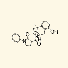 CC1(C)[C@H]2Cc3c(O)cccc3[C@]1(C)CCN2C(=O)C1CCN(c2ccccc2)C1=O